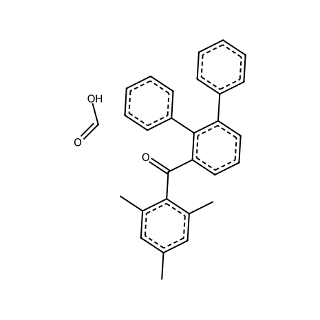 Cc1cc(C)c(C(=O)c2cccc(-c3ccccc3)c2-c2ccccc2)c(C)c1.O=CO